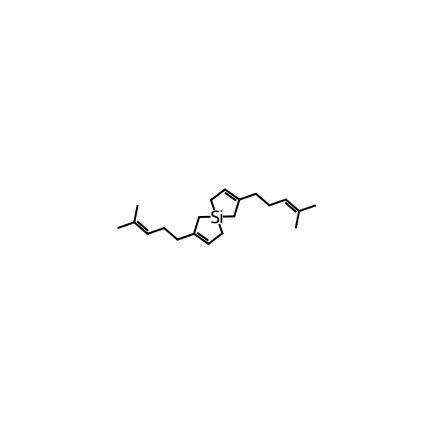 CC(C)=CCCC1=CC[Si]2(CC=C(CCC=C(C)C)C2)C1